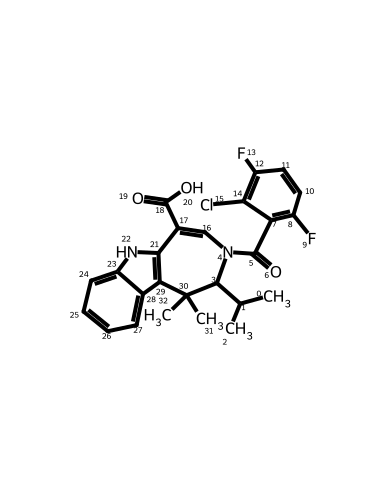 CC(C)C1N(C(=O)c2c(F)ccc(F)c2Cl)C=C(C(=O)O)c2[nH]c3ccccc3c2C1(C)C